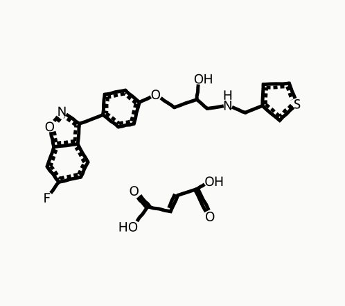 O=C(O)C=CC(=O)O.OC(CNCc1ccsc1)COc1ccc(-c2noc3cc(F)ccc23)cc1